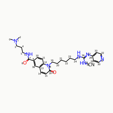 CN(C)CCCNC(=O)c1ccc2c(ccc(=O)n2CCCCCCNC(=Nc2ccncc2)NC#N)c1